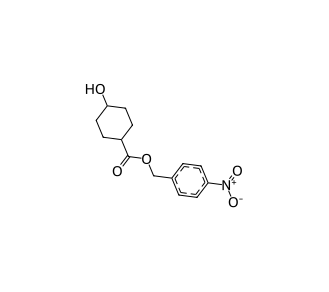 O=C(OCc1ccc([N+](=O)[O-])cc1)C1CCC(O)CC1